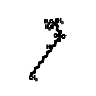 CCCCCCCCCCCNCCOP(=O)([O-])OCC[N+](C)(C)C